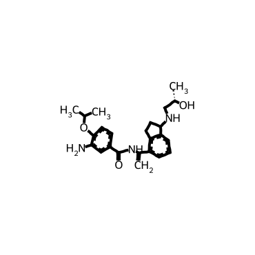 C=C(NC(=O)c1ccc(OC(C)C)c(N)c1)c1cccc2c1CCC2NC[C@H](C)O